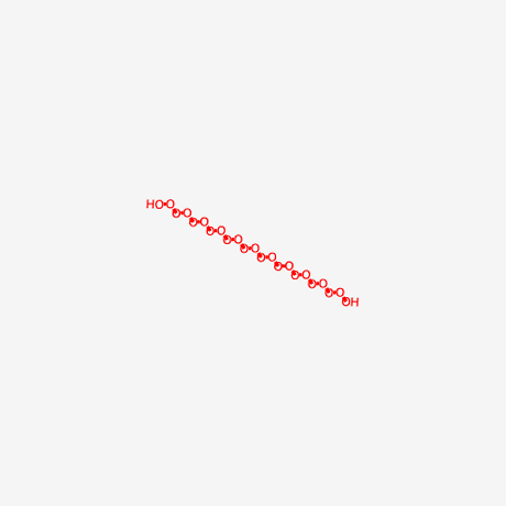 OOOOOOOOOOOOOOOOOOOOOOO